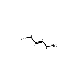 CCCC=CCF